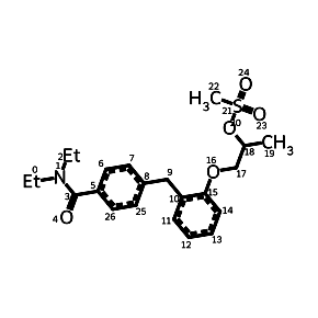 CCN(CC)C(=O)c1ccc(Cc2ccccc2OCC(C)OS(C)(=O)=O)cc1